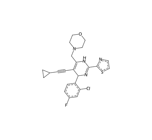 Fc1ccc(C2N=C(c3nccs3)NC(CN3CCOCC3)=C2C#CC2CC2)c(Cl)c1